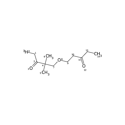 [3H]CC(=O)C(C)(C)COCCC(=O)CC